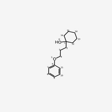 OC1(CCCOc2ccccc2)CCCCC1